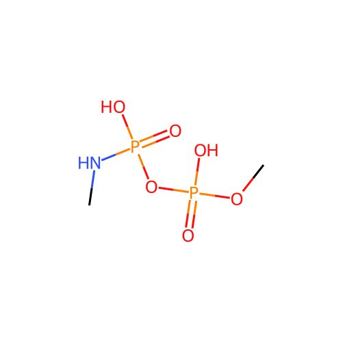 CNP(=O)(O)OP(=O)(O)OC